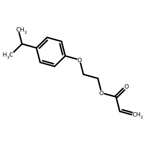 C=CC(=O)OCCOc1ccc(C(C)C)cc1